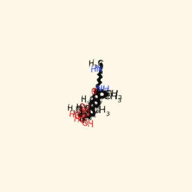 CCNCCCCCCNC(=O)C12CCC3C(=CCC4C3(C)CCC3C4(C)CCC(CC(OC(C(=O)O)C(C)O)C(O)O)[C@@]3(C)O)C1CC(C)(C)CC2